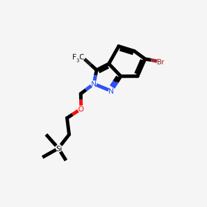 C[Si](C)(C)CCOCn1nc2cc(Br)ccc2c1C(F)(F)F